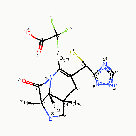 O=C(O)C(F)(F)F.O=C(O)C1=C(C(S)c2nc[nH]n2)C[C@@H]2CN[C@@H]3C(=O)N1[C@H]23